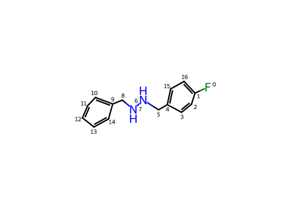 Fc1ccc(CNNCc2ccccc2)cc1